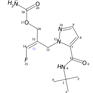 CC(C)(C)NC(=O)c1ccnn1C/C(=C\F)COC(N)=O